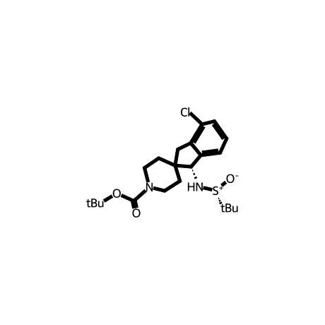 CC(C)(C)OC(=O)N1CCC2(CC1)Cc1c(Cl)cccc1[C@@H]2N[S@+]([O-])C(C)(C)C